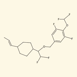 C/C=C/C1CCC(C(OCc2cc(F)c(OC(F)F)c(F)c2)C(F)F)CC1